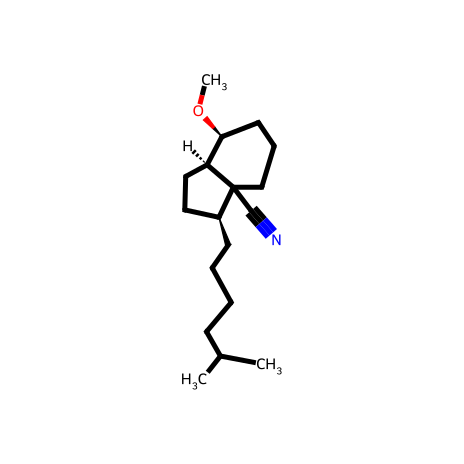 CO[C@H]1CCCC2(C#N)[C@@H](CCCCC(C)C)CC[C@@H]12